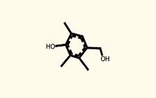 Cc1cc(CO)c(C)c(C)c1O